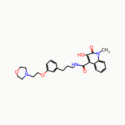 Cn1c(=O)c(O)c(C(=O)NCCCc2cccc(OCCN3CCOCC3)c2)c2ccccc21